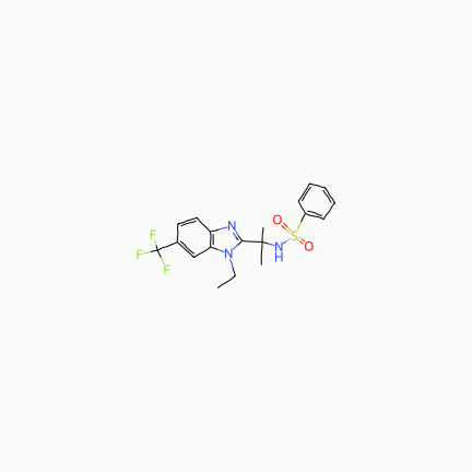 CCn1c(C(C)(C)NS(=O)(=O)c2ccccc2)nc2ccc(C(F)(F)F)cc21